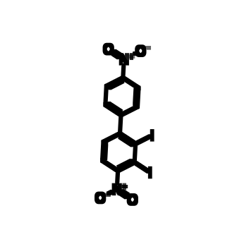 O=[N+]([O-])c1ccc(-c2ccc([N+](=O)[O-])c(I)c2I)cc1